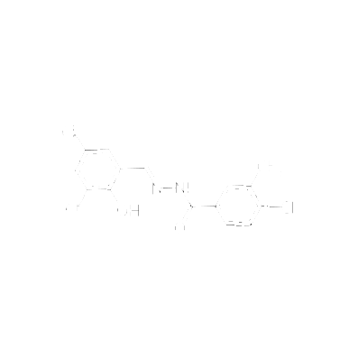 O=C(NN=Cc1cc(Cl)cc(Cl)c1O)c1ccc(Cl)c(C(F)(F)F)c1